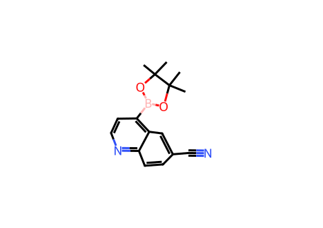 CC1(C)OB(c2ccnc3ccc(C#N)cc23)OC1(C)C